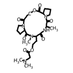 CC1NC(=O)C(CCOC(=O)CN(C)C)N(C)C(=O)C2CCCN2C(=O)CCOC(=O)C2CCCN2C1=O